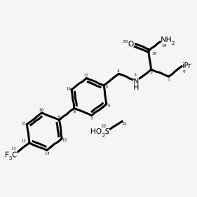 CC(C)CC(NCc1ccc(-c2ccc(C(F)(F)F)cc2)cc1)C(N)=O.CS(=O)(=O)O